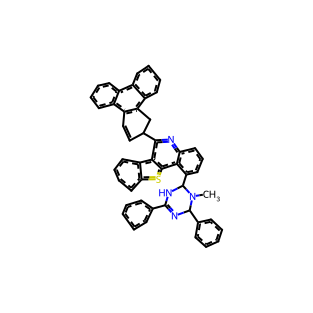 CN1C(c2ccccc2)N=C(c2ccccc2)NC1c1cccc2nc(C3C=Cc4c(c5ccccc5c5ccccc45)C3)c3c4ccccc4sc3c12